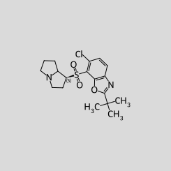 CC(C)(C)c1nc2ccc(Cl)c(S(=O)(=O)[C@H]3CCN4CCCC34)c2o1